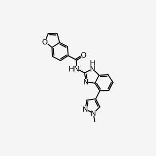 Cn1cc(-c2cccc3[nH]c(NC(=O)c4ccc5occc5c4)nc23)cn1